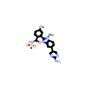 CC(C)(C)n1c(-c2cc(C#N)ccc2C(=O)NS(C)(=O)=O)nc2cc(-c3cnc(N)nc3)ccc21